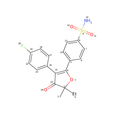 CCC1(C)OC(c2ccc(S(N)(=O)=O)cc2)=C(c2ccc(F)cc2)C1=O